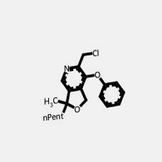 CCCCCC1(C)OCc2c1cnc(CCl)c2Oc1ccccc1